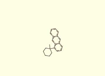 CC1(c2cccc3cc4ccccc4cc23)CCCCC1